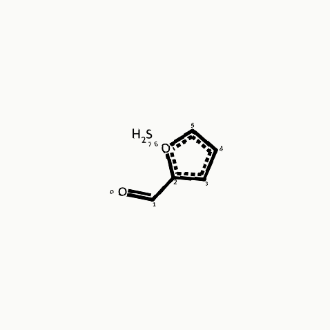 O=Cc1ccco1.S